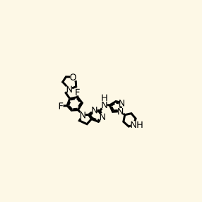 Fc1cc(N2CCc3cnc(Nc4cnn(C5CCNCC5)c4)nc32)cc(F)c1CN1CCOCC1